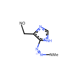 CN/N=N\c1[nH]cnc1CN=O